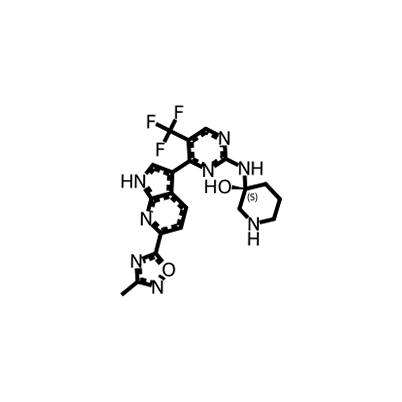 Cc1noc(-c2ccc3c(-c4nc(N[C@]5(O)CCCNC5)ncc4C(F)(F)F)c[nH]c3n2)n1